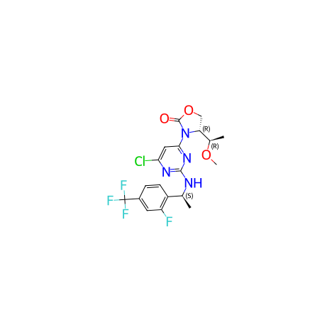 CO[C@H](C)[C@H]1COC(=O)N1c1cc(Cl)nc(N[C@@H](C)c2ccc(C(F)(F)F)cc2F)n1